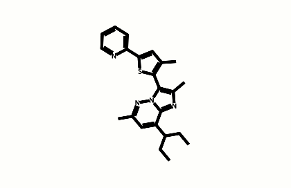 CCC(CC)c1cc(C)nn2c(-c3sc(-c4ccccn4)cc3C)c(C)nc12